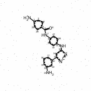 Nc1ccc(C(=O)Nc2ccc(Nc3cc(-c4cccc(N)c4)ncn3)cc2)cc1